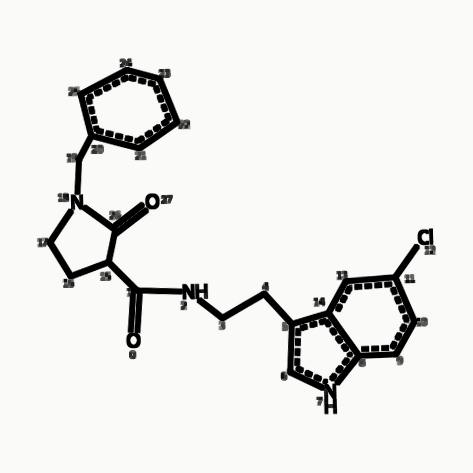 O=C(NCCc1c[nH]c2ccc(Cl)cc12)C1CCN(Cc2ccccc2)C1=O